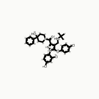 CC(C)(C)NCc1c(C(=O)N2CCC(O)(c3ccccc3)CC2)nn(-c2ccc(Cl)cc2Cl)c1Oc1ccc(Cl)cc1